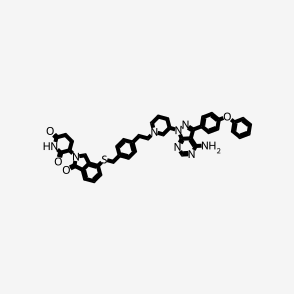 Nc1ncnc2c1c(-c1ccc(Oc3ccccc3)cc1)nn2C1CCCN(CCc2ccc(CSc3cccc4c3CN(C3CCC(=O)NC3=O)C4=O)cc2)C1